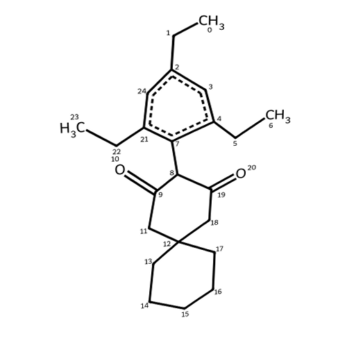 CCc1cc(CC)c(C2C(=O)CC3(CCCCC3)CC2=O)c(CC)c1